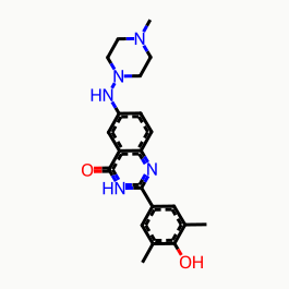 Cc1cc(-c2nc3ccc(NN4CCN(C)CC4)cc3c(=O)[nH]2)cc(C)c1O